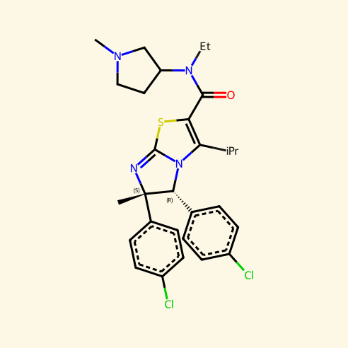 CCN(C(=O)C1=C(C(C)C)N2C(=N[C@@](C)(c3ccc(Cl)cc3)[C@H]2c2ccc(Cl)cc2)S1)C1CCN(C)C1